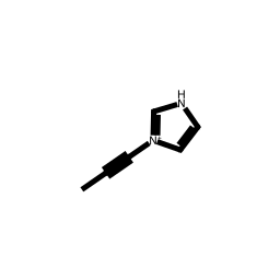 CC#C[n+]1cc[nH]c1